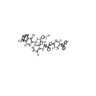 CCOC(=O)CC(c1ccc(C)c(CN(C)C(=O)Oc2ccc([N+](=O)[O-])cc2)c1)c1ccc2c(nnn2C)c1C